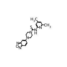 Cc1cc(C)nc(NC(=S)N2CCN(c3ccc4nonc4c3)CC2)c1